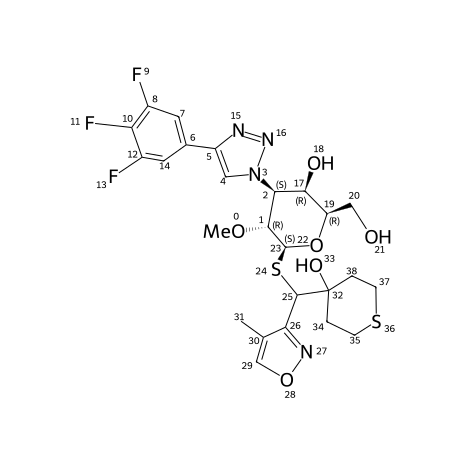 CO[C@@H]1[C@@H](n2cc(-c3cc(F)c(F)c(F)c3)nn2)[C@@H](O)[C@@H](CO)O[C@H]1SC(c1nocc1C)C1(O)CCSCC1